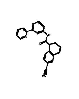 C#Cc1ccc2c(c1)CCCC2C(=O)Nc1ccnc(-c2ccccn2)n1